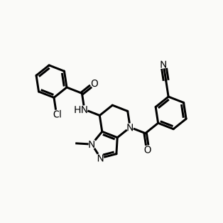 Cn1ncc2c1C(NC(=O)c1ccccc1Cl)CCN2C(=O)c1cccc(C#N)c1